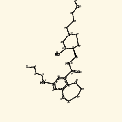 CCCCNc1cc2c(c(C(=O)NC[C@@H]3CCN(CCCOC)CC3O)c1)OCCCO2